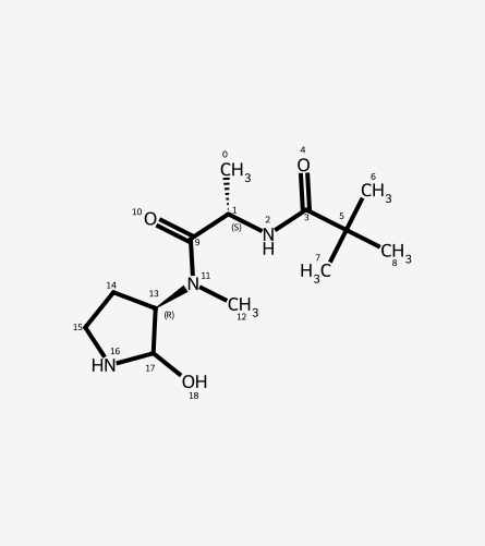 C[C@H](NC(=O)C(C)(C)C)C(=O)N(C)[C@@H]1CCNC1O